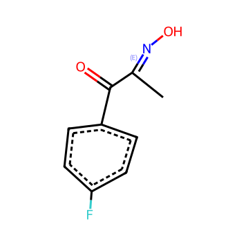 C/C(=N\O)C(=O)c1ccc(F)cc1